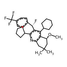 CO[C@H]1CC(C)(C)Cc2nc(C3CCCC3)c([C@@H](F)c3ccc(C(F)(F)F)cc3)c(C3CCCCC3)c21